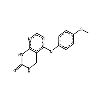 COc1ccc(Oc2ccnc3c2CNC(=O)N3)cc1